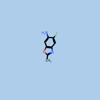 Cc1nc2cc(F)c(N)cc2o1